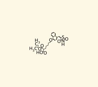 CCC(C)OC(=O)C(CCCCCOc1ccc(C=C2SC(=O)NC2=O)c2ccccc12)C(=O)O